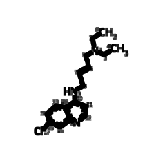 CCN(CC)C/C=C/CNc1ccnc2cc(Cl)ccc12